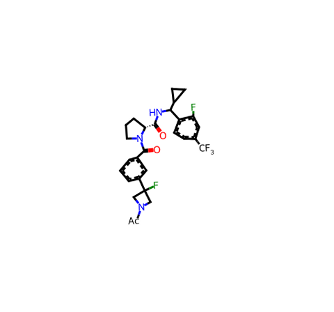 CC(=O)N1CC(F)(c2cccc(C(=O)N3CCC[C@@H]3C(=O)NC(c3ccc(C(F)(F)F)cc3F)C3CC3)c2)C1